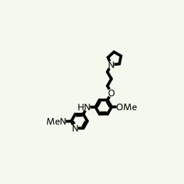 CNc1cc(Nc2ccc(OC)c(OCCCN3CCCC3)c2)ccn1